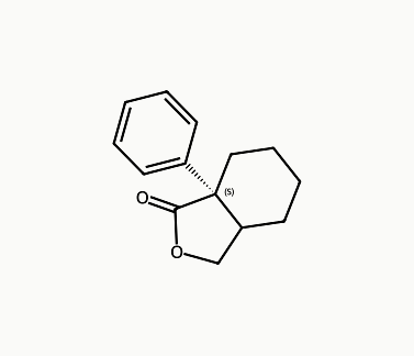 O=C1OCC2CCCC[C@]12c1ccccc1